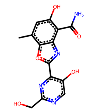 Cc1cc(O)c(C(N)=O)c2nc(-c3nc(CO)ncc3O)oc12